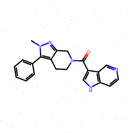 Cn1nc2c(c1-c1ccccc1)CCN(C(=O)c1c[nH]c3ccncc13)C2